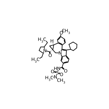 CCC1CCC(CC)N1C(=O)[C@]12C[C@H]1c1cc(OC)ccc1-c1c(C3CCCCC3)c3ccc(C(=O)NS(=O)(=O)N(C)C)cc3n1C2